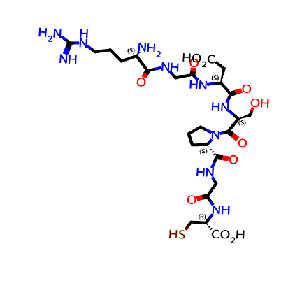 N=C(N)NCCC[C@H](N)C(=O)NCC(=O)N[C@@H](CC(=O)O)C(=O)N[C@@H](CO)C(=O)N1CCC[C@H]1C(=O)NCC(=O)N[C@@H](CS)C(=O)O